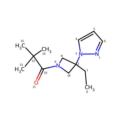 CCC1(n2cccn2)CN(C(=O)C(C)(C)C)C1